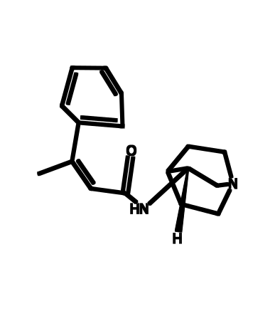 C/C(=C/C(=O)N[C@H]1CN2CCC1CC2)c1ccccc1